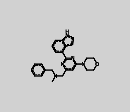 CN(Cc1ccccc1)Cc1cc(N2CCOCC2)nc(-c2cccc3[nH]ccc23)n1